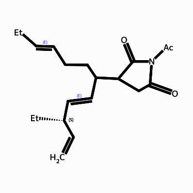 C=C[C@@H](/C=C/C(CC/C=C/CC)C1CC(=O)N(C(C)=O)C1=O)CC